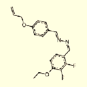 C=CCOc1ccc(/C=N/N=C\c2ccc(OCC)c(F)c2F)cc1